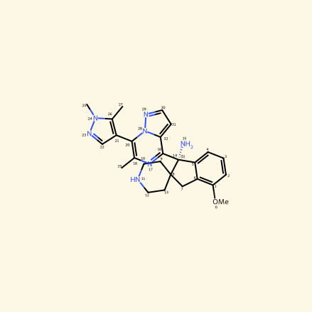 COc1cccc2c1CC1(CCNCC1)[C@@]2(N)c1nc(C)c(-c2cnn(C)c2C)n2nccc12